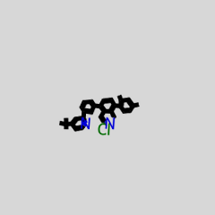 Cc1ccc(-c2ccc(-c3cccc(-c4cc(C(C)(C)C)ccn4)c3)c3cc(Cl)ncc23)c(C)c1